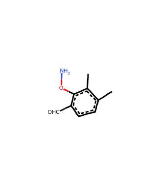 Cc1ccc(C=O)c(ON)c1C